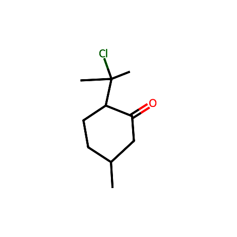 CC1CCC(C(C)(C)Cl)C(=O)C1